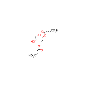 O=C(O)CCC(=O)OCCCCOC(=O)CCC(=O)O.OCCO